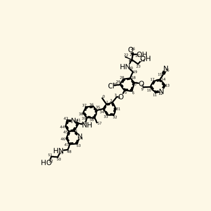 Cc1c(COc2cc(OCc3cncc(C#N)c3)c(CN[C@@](C)(CO)C(=O)O)cc2Cl)cccc1-c1cccc(Nc2nccc3cc(CNCCO)cnc23)c1C